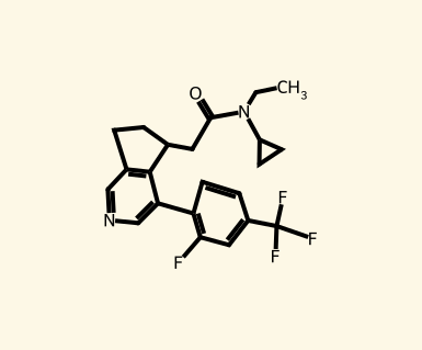 CCN(C(=O)CC1CCc2cncc(-c3ccc(C(F)(F)F)cc3F)c21)C1CC1